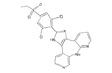 CCS(=O)(=O)c1cc(Cl)c(-c2nc3c([nH]2)-c2ccncc2Nc2ncccc2-3)c(Cl)c1